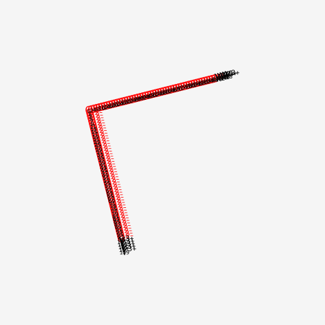 [O-2].[O-2].[O-2].[O-2].[O-2].[O-2].[O-2].[O-2].[O-2].[O-2].[O-2].[O-2].[O-2].[O-2].[O-2].[O-2].[O-2].[O-2].[O-2].[O-2].[O-2].[O-2].[O-2].[O-2].[O-2].[O-2].[O-2].[O-2].[O-2].[O-2].[O-2].[O-2].[O-2].[O-2].[O-2].[O-2].[O-2].[O-2].[O-2].[O-2].[O-2].[O-2].[O-2].[O-2].[O-2].[O-2].[O-2].[O-2].[O-2].[O-2].[O-2].[O-2].[O-2].[O-2].[O-2].[O-2].[O-2].[O-2].[O-2].[O-2].[O-2].[O-2].[O-2].[O-2].[O-2].[O-2].[O-2].[O-2].[O-2].[O-2].[O-2].[O-2].[O-2].[O-2].[O-2].[O-2].[O-2].[O-2].[O-2].[O-2].[O-2].[O-2].[O-2].[O-2].[O-2].[O-2].[O-2].[O-2].[O-2].[O-2].[O-2].[O-2].[O-2].[O-2].[O-2].[O-2].[O-2].[O-2].[O-2].[O-2].[Y+3].[Y+3].[Y+3].[Y+3].[Y+3].[Y+3].[Y+3].[Y+3].[Y+3].[Y+3]